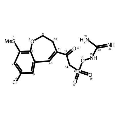 CSc1cc(Cl)cc2c1OCCC(C(=O)CS(=O)(=O)ONC(=N)N)=C2